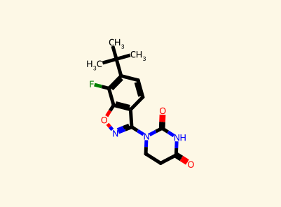 CC(C)(C)c1ccc2c(N3CCC(=O)NC3=O)noc2c1F